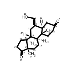 C[C@]12CCC(=O)C[C@@H]1C(=CO)C[C@@H]1[C@@H]2CC[C@]2(C)C(=O)CC[C@@H]12